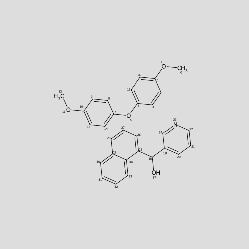 COc1ccc(Oc2ccc(OC)cc2)cc1.OC(c1cccnc1)c1cccc2ccccc12